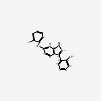 Fc1ccccc1Oc1ncc2c(-c3ccccc3Cl)n[nH]c2n1